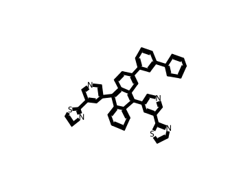 c1ccc(-c2cccc(-c3ccc4c(-c5cncc(-c6nccs6)c5)c5ccccc5c(-c5cncc(-c6nccs6)c5)c4c3)c2)cc1